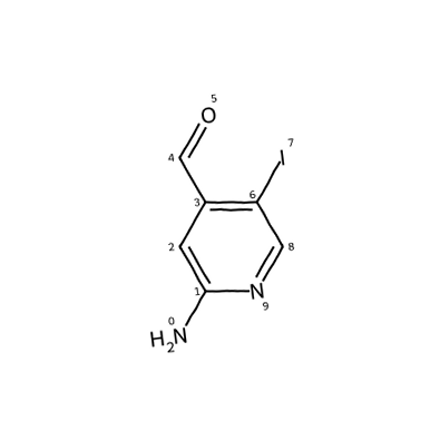 Nc1cc(C=O)c(I)cn1